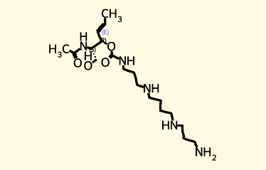 C/C=C/[C@@H](OC(=O)NCCCNCCCCNCCCN)[C@H](CO)NC(C)=O